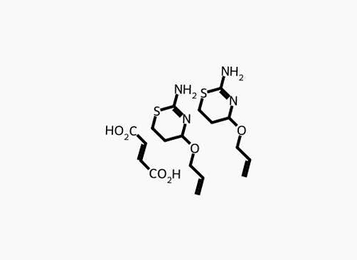 C=CCOC1CCSC(N)=N1.C=CCOC1CCSC(N)=N1.O=C(O)C=CC(=O)O